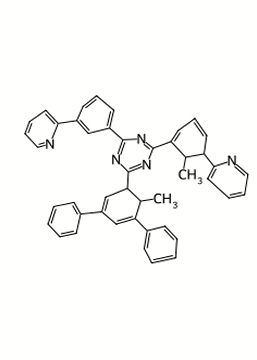 CC1C(c2nc(-c3cccc(-c4ccccn4)c3)nc(C3C=C(c4ccccc4)C=C(c4ccccc4)C3C)n2)=CC=CC1c1ccccn1